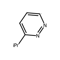 CC(C)c1cc[c]nn1